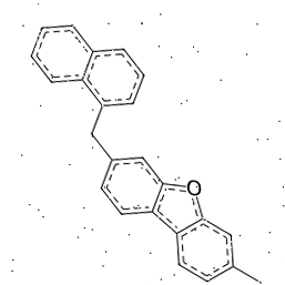 Cc1ccc2c(c1)oc1cc(Cc3cccc4ccccc34)ccc12